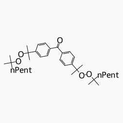 CCCCCC(C)(C)OOC(C)(C)c1ccc(C(=O)c2ccc(C(C)(C)OOC(C)(C)CCCCC)cc2)cc1